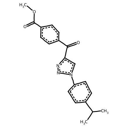 COC(=O)c1ccc(C(=O)c2cn(-c3ccc(C(C)C)cc3)nn2)cc1